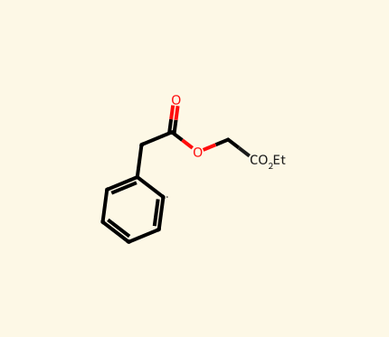 CCOC(=O)COC(=O)Cc1[c]cccc1